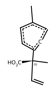 C=C[C@](C)(C(=O)O)c1ccc(C)cc1